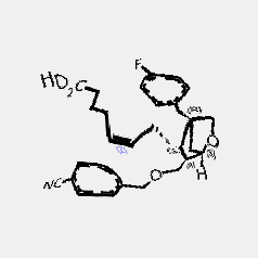 N#Cc1ccc(COC[C@@H]2[C@@H]3C[C@@](c4ccc(F)cc4)(CO3)[C@H]2C/C=C\CCCC(=O)O)cc1